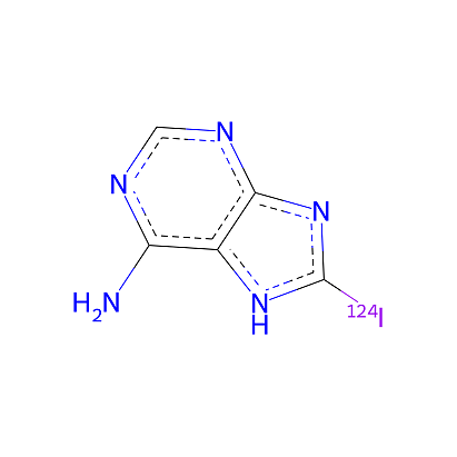 Nc1ncnc2nc([124I])[nH]c12